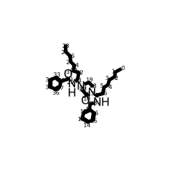 CCCCCCCC(NC(=O)c1ccccc1)N1CCN(C(CCCCCCC)NC(=O)c2ccccc2)CC1